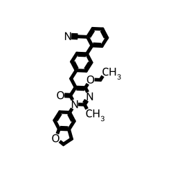 CCOc1nc(C)n(-c2ccc3c(c2)CCO3)c(=O)c1Cc1ccc(-c2ccccc2C#N)cc1